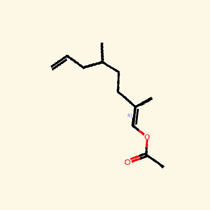 C=CCC(C)CC/C(C)=C/OC(C)=O